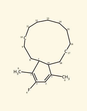 CC1=CC(F)=C(C)C2CCCCCCCCCCCC12